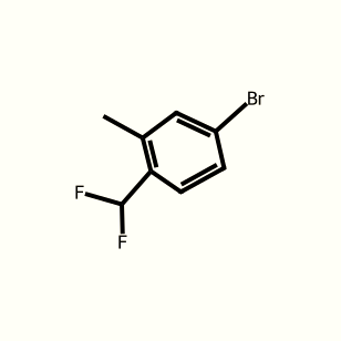 Cc1cc(Br)ccc1C(F)F